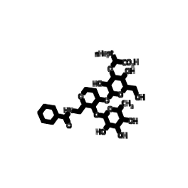 CCCCCCCC(OC1C(O)C(CO)OC(OC2CCOC(CNC(=O)C3CCCCC3)C2OC2OC(C)C(O)C(O)C2O)C1O)C(=O)O